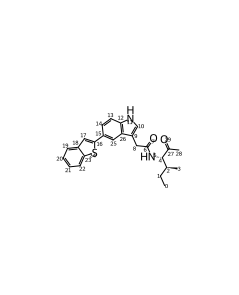 CC[C@H](C)[C@H](NC(=O)Cc1c[nH]c2ccc(-c3cc4ccccc4s3)cc12)C(C)=O